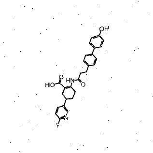 O=C(CCc1ccc(-c2ccc(O)cc2)cc1)NC1=C(C(=O)O)CC(c2ccc(F)nc2)CC1